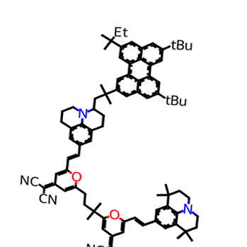 CCC(C)(C)c1cc2cc(C(C)(C)C)cc3c4cc(C(C)(C)C)cc5cc(C(C)(C)CC6CCc7cc(/C=C/C8=CC(=C(C#N)C#N)C=C(CCC(C)(C)C9=CC(=C(C#N)C#N)C=C(/C=C/c%10cc%11c%12c(c%10)C(C)(C)CCN%12CCC%11(C)C)O9)O8)cc8c7N6CCC8)cc(c(c1)c23)c54